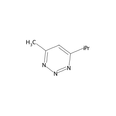 Cc1cc(C(C)C)nnn1